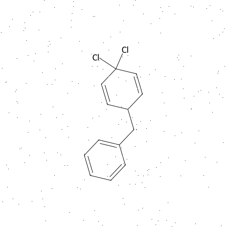 ClC1(Cl)C=CC([CH]c2ccccc2)C=C1